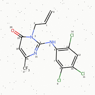 C=CCn1c(Nc2cc(Cl)c(Cl)cc2Cl)nc(C(F)(F)F)cc1=O